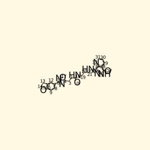 O=C(CCc1nc(-c2ccc3c(c2)CCO3)no1)NCCCNc1n[nH]c(=O)c2cccnc12